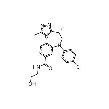 Cc1nnc2n1-c1ccc(C(=O)NCCO)cc1N(c1ccc(Cl)cc1)C[C@H]2C